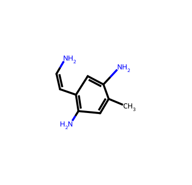 Cc1cc(N)c(/C=C\N)cc1N